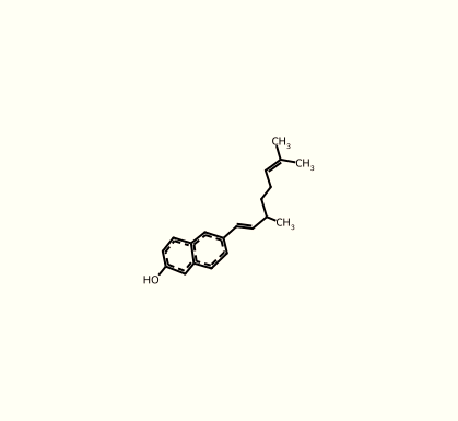 CC(C)=CCCC(C)C=Cc1ccc2cc(O)ccc2c1